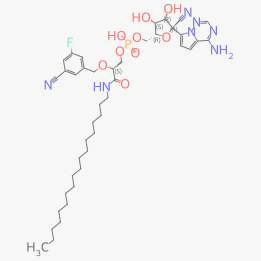 CCCCCCCCCCCCCCCCCCNC(=O)[C@H](COP(=O)(O)OC[C@H]1O[C@@](C#N)(c2ccc3c(N)ncnn23)[C@H](O)[C@@H]1O)OCc1cc(F)cc(C#N)c1